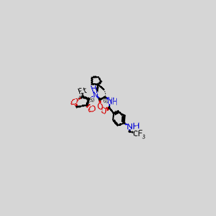 CC[C@@H]1OCC(=O)[C@H]1NC(=O)[C@H](CC1(C)CCCC1)NC(=O)c1ccc(NCC(F)(F)F)cc1